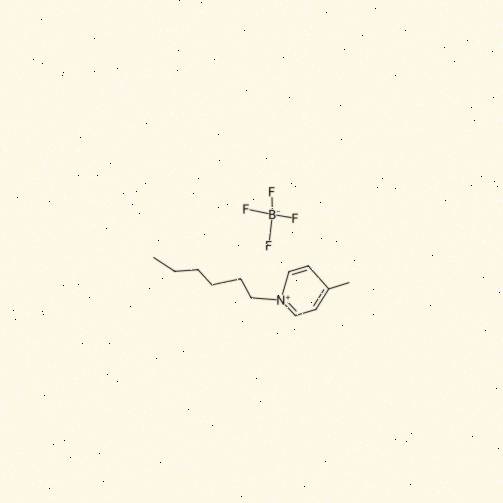 CCCCCC[n+]1ccc(C)cc1.F[B-](F)(F)F